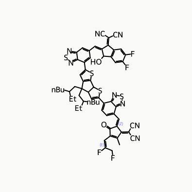 CCCCC(CC)CC1(CC(CC)CCCC)c2cc(-c3cc(C=C4C(=C(C#N)C#N)c5cc(F)c(F)cc5C4O)cc4nsnc34)sc2C2SC(c3ccc(/C=C4\C(=O)C(/C=C(/F)CF)=C(C)C4=C(C#N)C#N)c4nsnc34)=CC21